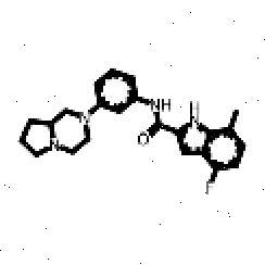 Cc1ccc(F)c2cc(C(=O)Nc3cccc(N4CCN5CCCC5C4)c3)[nH]c12